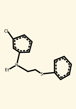 CCN(CCSc1ccccc1)c1cccc(Cl)c1